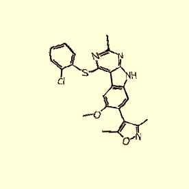 COc1cc2c(cc1-c1c(C)noc1C)[nH]c1nc(C)nc(Sc3ccccc3Cl)c12